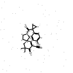 CC1(C)C[C@@]2(C=C(C#N)C1=O)CCN(C(=O)C1(c3ccc(Cl)cc3)CC1)C2